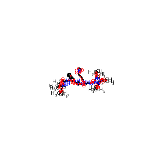 COC(=O)C(CCCCNC(=O)C(Cc1ccc2ccccc2c1)NC(=O)C1CCC(CNC(=O)C(CCCCNC(=O)CN2CCN(CC(=O)OC(C)(C)C)CCN(CC(=O)OC(C)(C)C)CCN(CC(=O)OC(C)(C)C)C2)NC(=O)CCCCCCC(=O)ON2C(=O)CCC2=O)CC1)NC(=O)NC(CCC(=O)OC(C)(C)C)C(=O)OC(C)(C)C